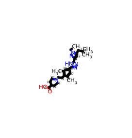 CCn1nc(-c2nnc(-c3cc(C)c(CCN4CCC(C(=O)O)CC4)c(C)c3)[nH]2)cc1CC(C)C